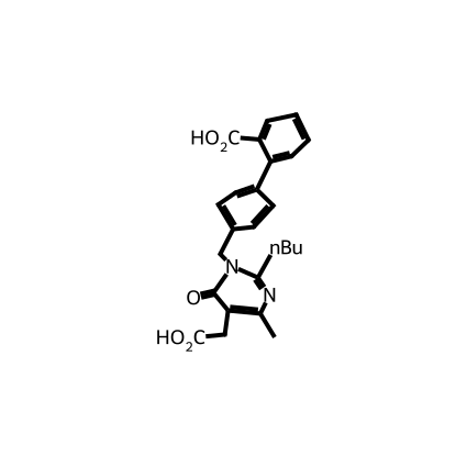 CCCCc1nc(C)c(CC(=O)O)c(=O)n1Cc1ccc(-c2ccccc2C(=O)O)cc1